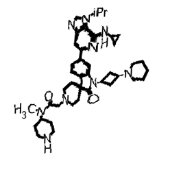 CC(C)n1cnc2cc(-c3ccc4c(c3)N([C@H]3C[C@@H](N5CCCCC5)C3)C(=O)C43CCN(CC(=O)N(C)C4CCNCC4)CC3)nc(NC3CC3)c21